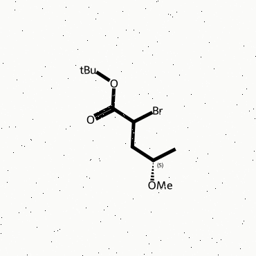 CO[C@@H](C)CC(Br)C(=O)OC(C)(C)C